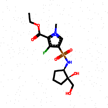 CCOC(=O)c1c(F)c(S(=O)(=O)N[C@@H]2CCC[C@]2(O)CO)cn1C